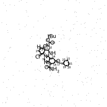 CN(CC(Nc1ncnc2c(C(N)=O)cc(OCc3ccccc3)cc12)c1cccc(Cl)c1)C(=O)OC(C)(C)C